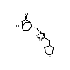 O=C1C[C@@H]2CC[C@@H](Cn3cc(CN4CCOCC4)nn3)N1C2